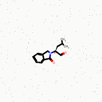 CC(C)C[C@@H]([C]=O)N1Cc2ccccc2C1=O